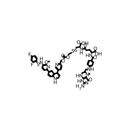 COc1nc(-c2ccc3c(c2)C(c2ccc(COC(=O)OCCSSCC(NC(=O)CCC(NC(=O)c4ccc(NCC5CNc6[nH]c(N)nc(=O)c6N5C)cc4)C(=O)O)C(=O)O)nc2)=CCN3)ccc1NSc1ccc(F)cc1F